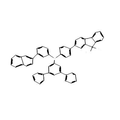 CC1(C)c2ccccc2-c2ccc(-c3ccc(N(c4cccc(-c5ccc6ccccc6c5)c4)c4cc(-c5ccccc5)cc(-c5ccccc5)c4)cc3)cc21